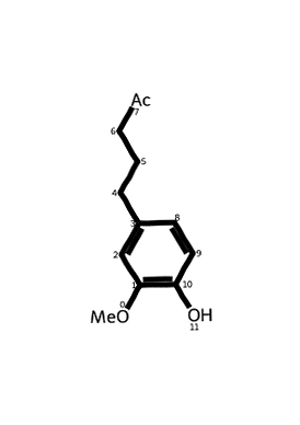 COc1cc(CCCC(C)=O)ccc1O